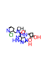 CN(CC1CC=CN=C1Cl)C(=O)C1=NNC2=NC=NC(N[C@@H]3CC[C@@H](O)[C@H]3O)C21